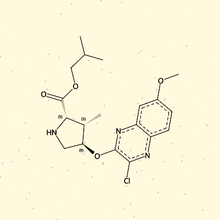 COc1ccc2nc(Cl)c(O[C@H]3CN[C@H](C(=O)OCC(C)C)[C@@H]3C)nc2c1